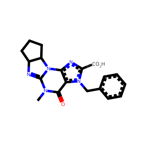 CN1C(=O)c2c(nc(C(=O)O)n2Cc2ccccc2)N2C1=NC1CCCC12